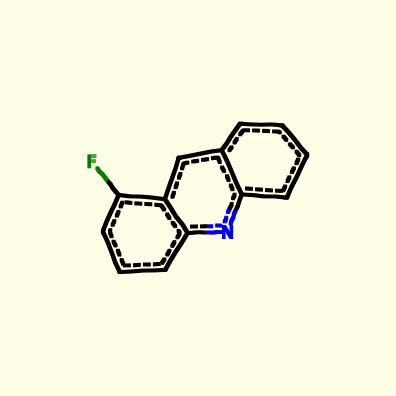 Fc1cccc2nc3ccccc3cc12